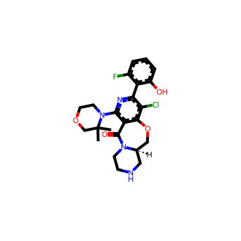 CC1(C)COCCN1c1nc(-c2c(O)cccc2F)c(Cl)c2c1C(=O)N1CCNC[C@@H]1CO2